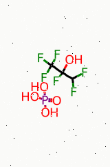 O=P(O)(O)O.OC(F)(C(F)F)C(F)(F)F